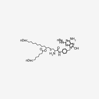 CCCCCCCCCCCCCCCCCCC(CSCC(N)C(=O)Nc1ccc(Cn2c(O)nc3c(N)nc(NCCCC)nc32)cc1)OC(=O)CCCCCCCCCCCCCCC